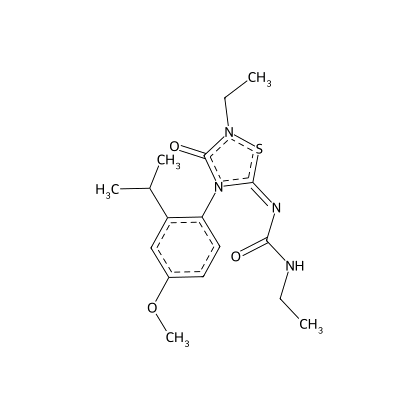 CCNC(=O)/N=c1/sn(CC)c(=O)n1-c1ccc(OC)cc1C(C)C